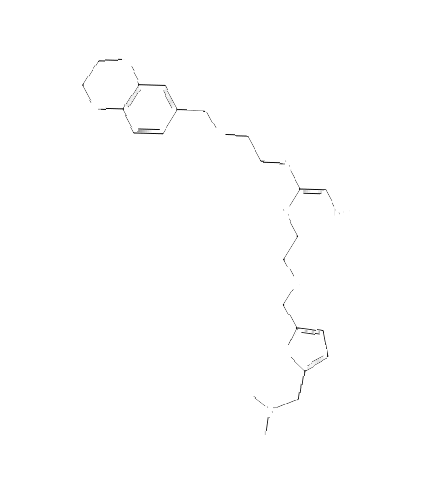 CN(C)Cc1ccc(CSCCNC(=C[N+](=O)[O-])NCCSCc2ccc3c(c2)OCCO3)o1